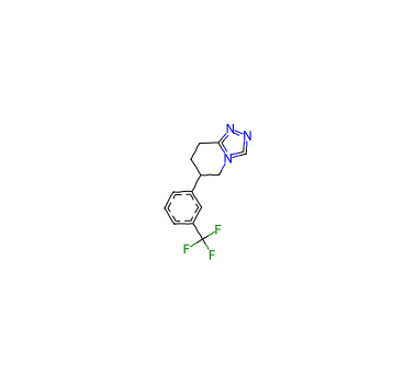 FC(F)(F)c1cccc(C2CCc3nncn3C2)c1